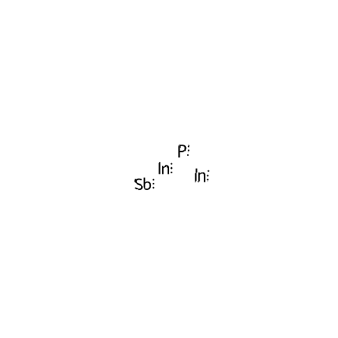 [In].[In].[P].[Sb]